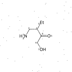 CCC(CN)C(=O)CO